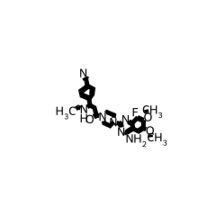 CCNC(CC(=O)N1CCN(c2nc(N)c3cc(OC)c(OC)c(F)c3n2)CC1)c1ccc(C#N)cc1